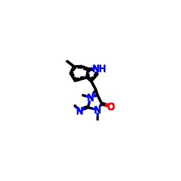 CN=C1N(C)C(=O)C2C(c3c[nH]c4cc(C)ccc34)[N+]12C